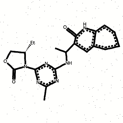 CC[C@H]1COC(=O)N1c1nc(C)nc(NC(C)c2cc3ccccc3[nH]c2=O)n1